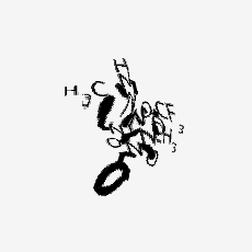 CC#CCN1c2c(n(C)c(=O)n(CCc3ccccc3)c2=O)N(OC(=O)C(F)(F)F)C1N1CCNCC1